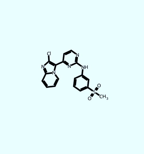 CS(=O)(=O)c1cccc(Nc2nccc(-c3c(Cl)nc4ccccn34)n2)c1